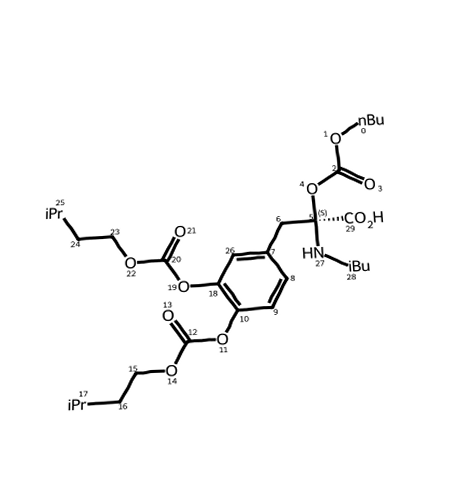 CCCCOC(=O)O[C@](Cc1ccc(OC(=O)OCCC(C)C)c(OC(=O)OCCC(C)C)c1)(NC(C)CC)C(=O)O